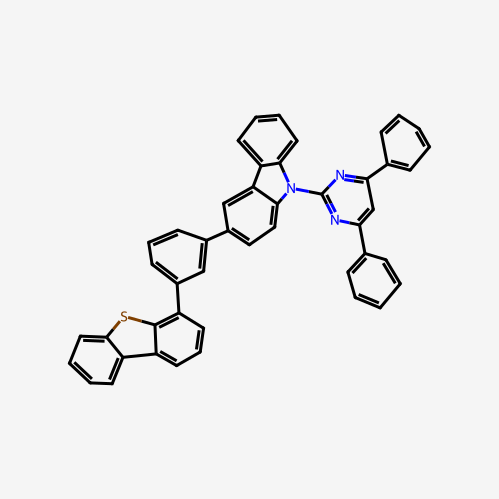 c1ccc(-c2cc(-c3ccccc3)nc(-n3c4ccccc4c4cc(-c5cccc(-c6cccc7c6sc6ccccc67)c5)ccc43)n2)cc1